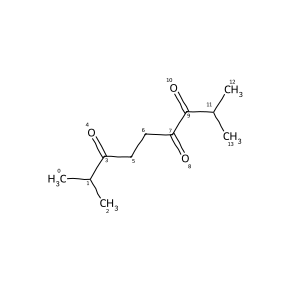 CC(C)C(=O)CCC(=O)C(=O)C(C)C